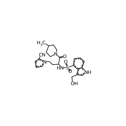 CC1CCN(C(=O)C(CCn2cccc2C#N)NS(=O)(=O)c2cccc3[nH]cc(CO)c23)CC1